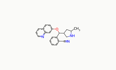 CC1CC(C(Oc2ccc3cccnc3c2)c2ccccc2C#N)CN1